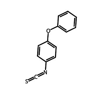 S=C=Nc1ccc(Oc2ccccc2)cc1